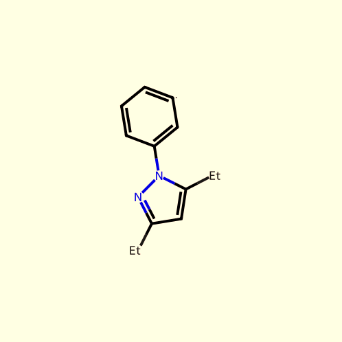 CCc1cc(CC)n(-c2c[c]ccc2)n1